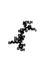 CCOCC(O)Cn1c(-c2cc(=O)c(O)c[nH]2)nn(S(=O)(=O)NC(=O)N2C[C@H](NC(=O)C(=NOC(C)(C)C(=O)O)c3csc(N)n3)C2=O)c1=O